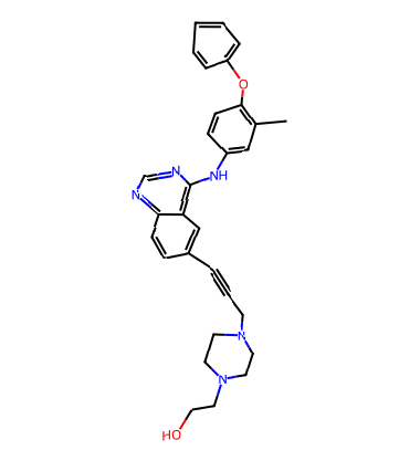 Cc1cc(Nc2ncnc3ccc(C#CCN4CCN(CCO)CC4)cc23)ccc1Oc1ccccc1